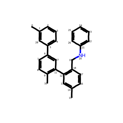 Cc1cccc(-c2ccc(C)c(-c3cc(C)ccc3CNc3ccccc3)c2)c1